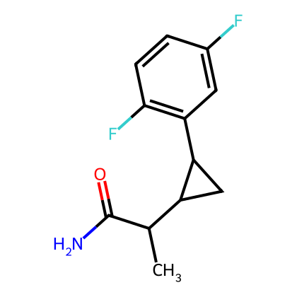 CC(C(N)=O)C1CC1c1cc(F)ccc1F